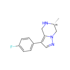 C[C@@H]1Cn2ncc(-c3ccc(F)cc3)c2CN1